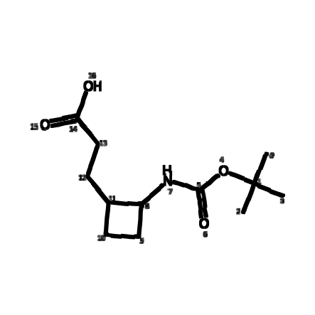 CC(C)(C)OC(=O)NC1CCC1CCC(=O)O